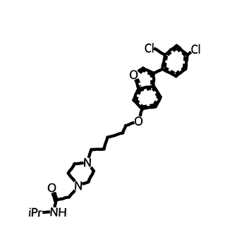 CC(C)NC(=O)CN1CCN(CCCCCOc2ccc3c(-c4ccc(Cl)cc4Cl)coc3c2)CC1